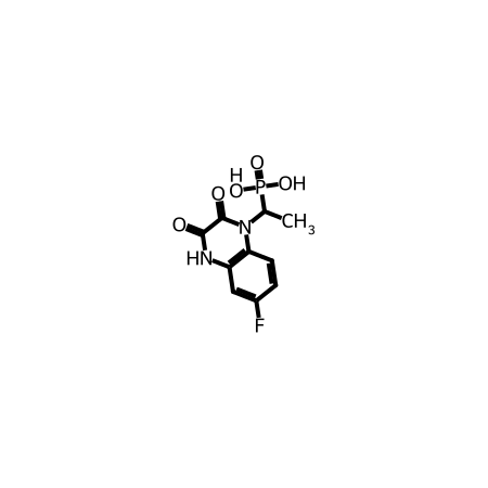 CC(n1c(=O)c(=O)[nH]c2cc(F)ccc21)P(=O)(O)O